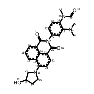 CN(C)c1cc(N2C(=O)c3cccc4c(N5CCC(O)C5)ccc(c34)C2=O)ccc1N(C)C=O